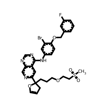 CS(=O)(=O)CCOCCCC1(c2cc3c(Nc4ccc(OCc5cccc(F)c5)c(Br)c4)ncnc3cn2)CC=CO1